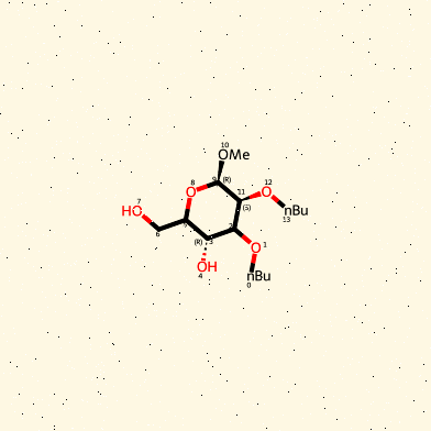 CCCCOC1[C@H](O)C(CO)O[C@@H](OC)[C@H]1OCCCC